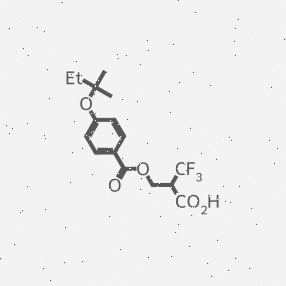 CCC(C)(C)Oc1ccc(C(=O)OCC(C(=O)O)C(F)(F)F)cc1